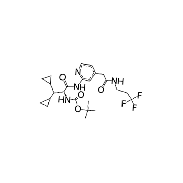 CC(C)(C)OC(=O)N[C@H](C(=O)Nc1cc(CC(=O)NCCC(F)(F)F)ccn1)C(C1CC1)C1CC1